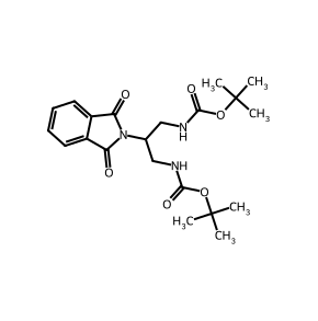 CC(C)(C)OC(=O)NCC(CNC(=O)OC(C)(C)C)N1C(=O)c2ccccc2C1=O